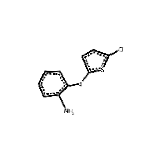 Nc1ccccc1Sc1ccc(Cl)s1